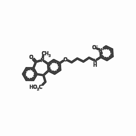 CN1C(=O)c2ccccc2C(CC(=O)O)c2ccc(OCCCCNc3cccc[n+]3[O-])cc21